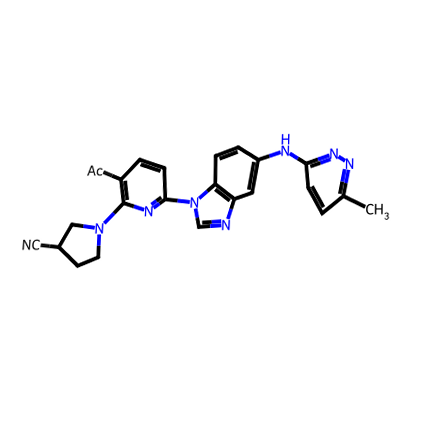 CC(=O)c1ccc(-n2cnc3cc(Nc4ccc(C)nn4)ccc32)nc1N1CCC(C#N)C1